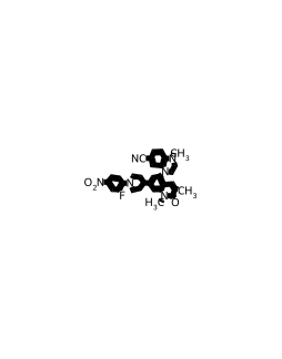 Cc1cc2c(N3CCN(C)c4ccc(C#N)cc43)cc(C3CCN(c4ccc([N+](=O)[O-])cc4F)CC3)cc2n(C)c1=O